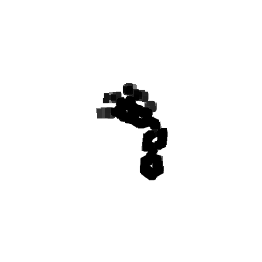 O=C1c2c(cc(O)c(O)c2[N+](=O)[O-])CC1CN1CCN(c2ccccc2)CC1